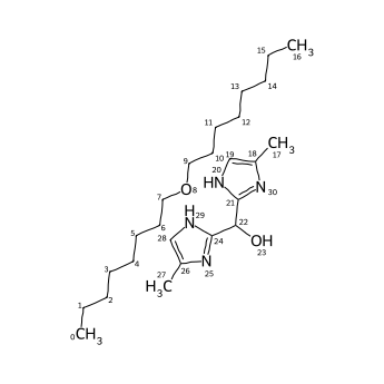 CCCCCCCCOCCCCCCCC.Cc1c[nH]c(C(O)c2nc(C)c[nH]2)n1